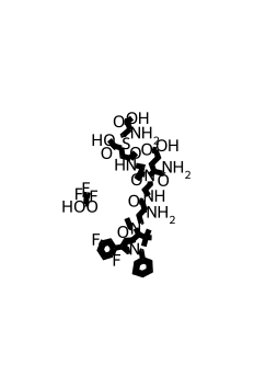 CC(=O)N(CCC(N)C(=O)NCCN(C(=O)CNC(=O)CC(SCC(N)C(=O)O)C(=O)O)C(CCC(=O)O)C(N)=O)C(c1cc(-c2cc(F)ccc2F)cn1Cc1ccccc1)C(C)(C)C.O=C(O)C(F)(F)F